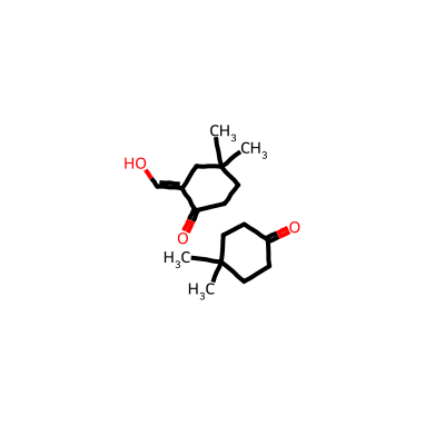 CC1(C)CCC(=O)/C(=C/O)C1.CC1(C)CCC(=O)CC1